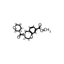 COC(=O)c1ccc2c(c1)OCCN(C(=O)[C@@H]1CCCOC1)C2